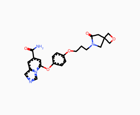 NC(=O)c1cc(Oc2ccc(OCCCN3CC4(COC4)CC3=O)cc2)n2cncc2c1